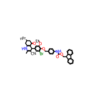 CCCC1CC(=O)C2=C(C1)NC(C)=C(C#N)C2c1cc(Br)c(OCc2ccc(NC(=O)OCC3c4ccccc4-c4ccccc43)cc2)c(OCC)c1